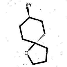 CC(C)[C@H]1CC[C@@]2(CCCO2)CC1